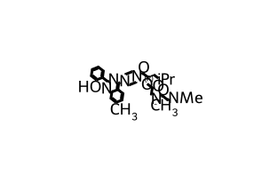 CNCC(=O)N(C)CC(=O)O[C@H](CC(C)C)C(=O)N1CCN(c2nc(-c3ccccc3O)nc3cc(C)ccc23)CC1